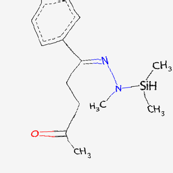 CC(=O)CCC(=NN(C)[SiH](C)C)c1ccccc1